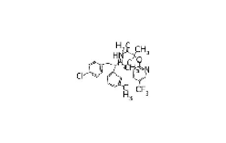 C=C(NC(C)C(Cc1ccc(Cl)cc1)c1cccc(C)c1)C(C)(C)Oc1ccc(C(F)(F)F)cn1